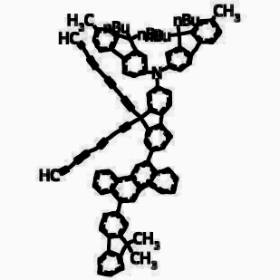 C#CC#CC#CC#CC1(C#CC#CC#CC#C)c2cc(-c3cc4c5ccccc5c(-c5ccc6c(c5)C(C)(C)c5ccccc5-6)cc4c4ccccc34)ccc2-c2ccc(N(c3ccc4c(c3)C(CCCC)(CCCC)c3cc(C)ccc3-4)c3ccc4c(c3)C(CCCC)(CCCC)c3cc(C)ccc3-4)cc21